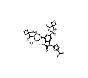 CCn1c(=O)n(-c2nnc(C(F)F)s2)c2cc(S(=O)(=O)NC3(CF)COC3)cc(N3CCN(C(=O)C4(OC)CCC4)[C@@H](C)C3)c21